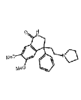 COc1cc2c(cc1OC)C(CCN1CCCC1)(c1ccccc1)CNC2=O